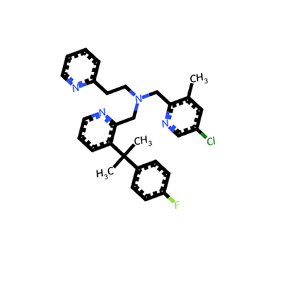 Cc1cc(Cl)cnc1CN(CCc1ccccn1)Cc1ncccc1C(C)(C)c1ccc(F)cc1